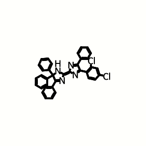 Clc1ccc(C2=NC(=C3N=C(c4ccccc4)C(c4ccccc4)(c4ccccc4)N3)N=C2c2ccccc2)c(Cl)c1